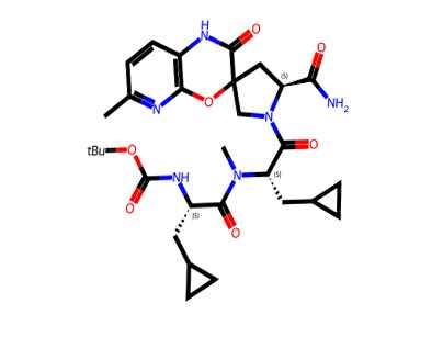 Cc1ccc2c(n1)OC1(C[C@@H](C(N)=O)N(C(=O)[C@H](CC3CC3)N(C)C(=O)[C@H](CC3CC3)NC(=O)OC(C)(C)C)C1)C(=O)N2